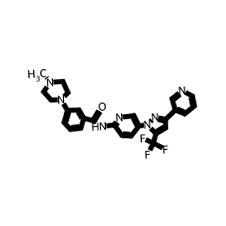 CN1CCN(c2cccc(C(=O)Nc3ccc(-n4nc(-c5cccnc5)cc4C(F)(F)F)cn3)c2)CC1